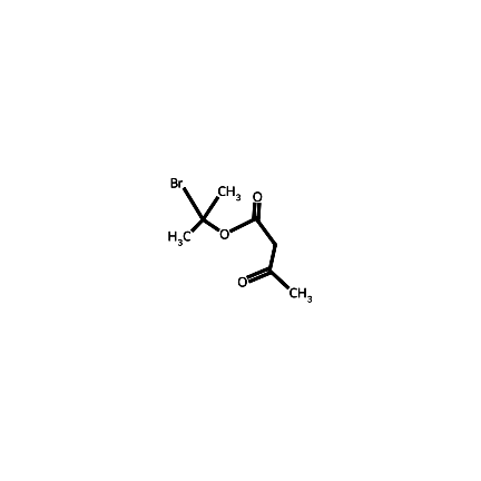 CC(=O)CC(=O)OC(C)(C)Br